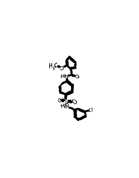 COc1ccccc1C(=O)Nc1ccc(S(=O)(=O)Nc2cccc(Cl)c2)cc1